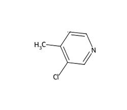 Cc1[c]cncc1Cl